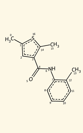 Cc1cc(C(=O)Nc2ccccc2C)c(C)s1